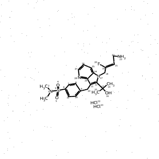 CN(C)S(=O)(=O)c1ccc(Cc2c(C(C)(C)O)n(CC(F)=CCN)c3cccnc23)cc1.Cl.Cl